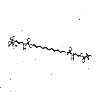 CO[Si](CCCNC(=O)OCCCCCCCCCCCOC(=O)NCCOC(=O)C(C)(C)C)(OC)OC